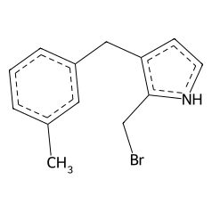 Cc1cccc(Cc2cc[nH]c2CBr)c1